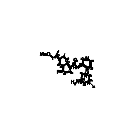 COCN(C)c1cnc2c(C(=O)Nc3cnccc3[C@@H]3C[C@H](C)C[C@H](N)C3)ccc(F)c2c1